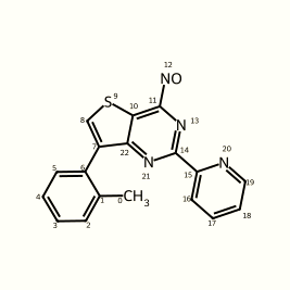 Cc1ccccc1-c1csc2c(N=O)nc(-c3ccccn3)nc12